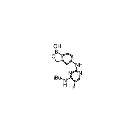 CCC(C)Nc1nc(Nc2ccc3c(c2)COB3O)ncc1F